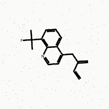 C=CC(=C)Cc1ccnc2c(C(C)(C)F)cccc12